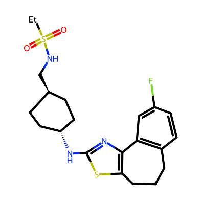 CCS(=O)(=O)NC[C@H]1CC[C@H](Nc2nc3c(s2)CCCc2ccc(F)cc2-3)CC1